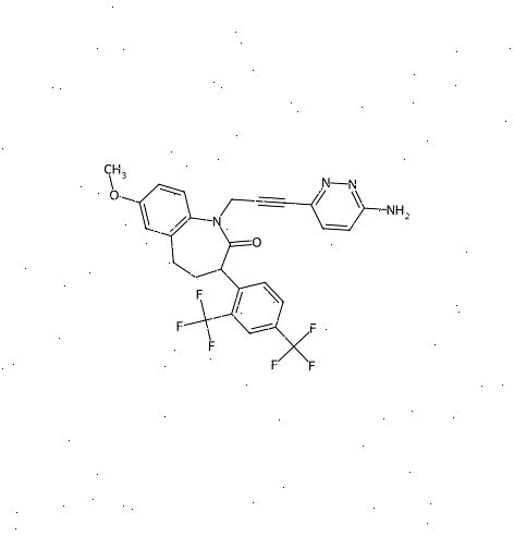 COc1ccc2c(c1)CCC(c1ccc(C(F)(F)F)cc1C(F)(F)F)C(=O)N2CC#Cc1ccc(N)nn1